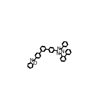 c1ccc(-c2nc(-c3ccc(-c4cccc(-c5ccc(-c6nc7ccccc7o6)cc5)c4)cc3)nc(-c3ccccc3-c3ccccc3)n2)cc1